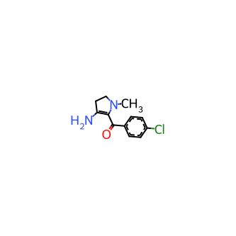 CN1CCC(N)=C1C(=O)c1ccc(Cl)cc1